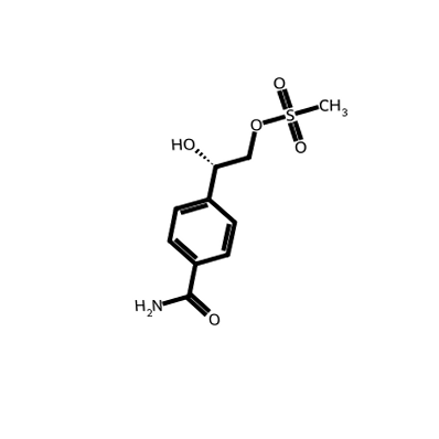 CS(=O)(=O)OC[C@@H](O)c1ccc(C(N)=O)cc1